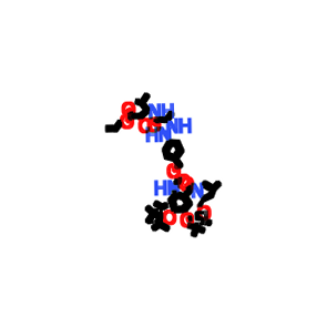 C=CCOC(=O)C(=O)C(NC(=O)C(C)NNc1ccc(COC(=O)Nc2cc(O[Si](C(C)C)(C(C)C)C(C)C)c(OC)cc2C(=O)N2C=C(C)C[C@H]2CO[Si](C)(C)C(C)(C)C)cc1)C(C)C